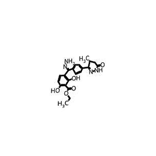 CCOC(=O)c1c(O)ccc(C(=NN)c2ccc(C3=NNC(=O)CC3C)cc2)c1O